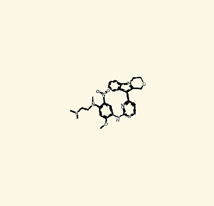 COc1cc(N(C)CCN(C)C)c([N+](=O)[O-])cc1Nc1nccc(-c2c3n(c4ccccc24)CCOC3)n1